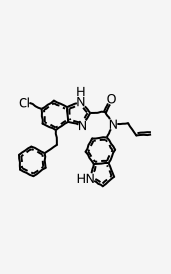 C=CCN(C(=O)c1nc2c(Cc3ccccc3)cc(Cl)cc2[nH]1)c1ccc2[nH]ccc2c1